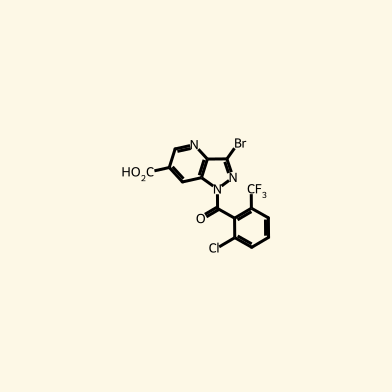 O=C(O)c1cnc2c(Br)nn(C(=O)c3c(Cl)cccc3C(F)(F)F)c2c1